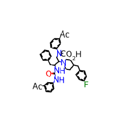 CC(=O)c1cccc(NC(=O)NC(Cc2ccccc2)C(CN(C(=O)O)c2cccc(C(C)=O)c2)N2CCC(Cc3ccc(F)cc3)CC2)c1